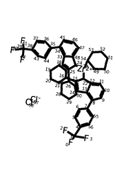 FC(F)(F)c1ccc(-c2cccc3c2C=C(C2CCCCC2)[CH]3[Zr+2]2([CH]3C(C4CCCCC4)=Cc4c(-c5ccc(C(F)(F)F)cc5)cccc43)[CH]3CCCC[CH]32)cc1.[Cl-].[Cl-]